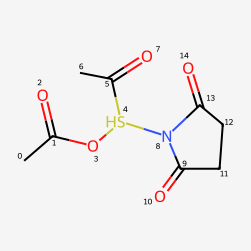 CC(=O)O[SH](C(C)=O)N1C(=O)CCC1=O